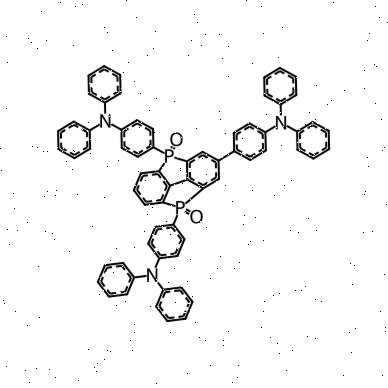 O=P1(c2ccc(N(c3ccccc3)c3ccccc3)cc2)c2cccc3c2-c2c1cc(-c1ccc(N(c4ccccc4)c4ccccc4)cc1)cc2P3(=O)c1ccc(N(c2ccccc2)c2ccccc2)cc1